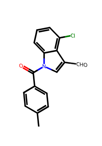 Cc1ccc(C(=O)n2cc(C=O)c3c(Cl)cccc32)cc1